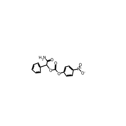 NC(=O)C(OC(=O)Oc1ccc([N+](=O)[O-])cc1)c1ccccc1